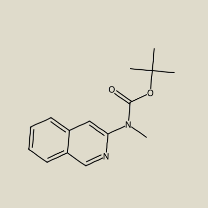 CN(C(=O)OC(C)(C)C)c1cc2ccccc2cn1